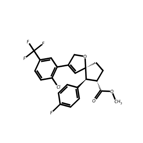 COC(=O)[C@H]1CC[C@@]2(C=C(c3cc(C(F)(F)F)ccc3Cl)CO2)[C@@H]1c1ccc(F)cc1